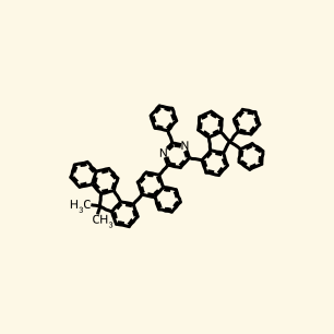 CC1(C)c2cccc(-c3ccc(-c4cc(-c5cccc6c5-c5ccccc5C6(c5ccccc5)c5ccccc5)nc(-c5ccccc5)n4)c4ccccc34)c2-c2ccc3ccccc3c21